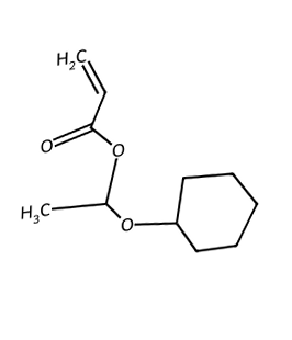 C=CC(=O)OC(C)OC1CCCCC1